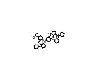 Cc1ccc(N(c2ccc3c(c2)Oc2cccc4c2B3c2ccccc2N4c2ccccc2)c2cccc3c2sc2ccccc23)cc1